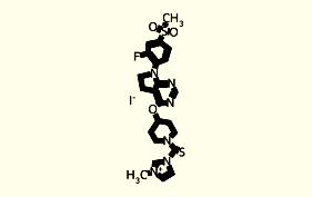 C[n+]1ccn(C(=S)N2CCC(Oc3ncnc4c3CCN4c3ccc(S(C)(=O)=O)cc3F)CC2)c1.[I-]